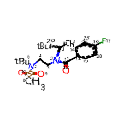 CC(N(CCN(C(C)(C)C)S(C)(=O)=O)C(=O)c1ccc(F)cc1)C(C)(C)C